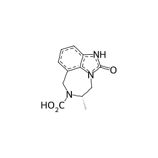 C[C@H]1Cn2c(=O)[nH]c3cccc(c32)CN1C(=O)O